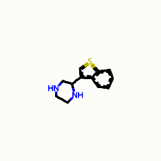 c1ccc2c(C3CNCCN3)csc2c1